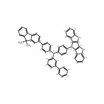 CC1(C)c2ccccc2-c2ccc(-c3ccc(N(c4ccc(-n5c6c7ccccc7sc6c6sc7ccccc7c65)cc4)c4cccc(-c5ccccc5)c4)cc3)cc21